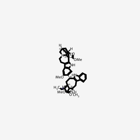 C/C=C1/CN(C)[C@@H]2Cc3c([nH]c4ccccc34)[C@@H](c3cc4[nH]c5c(c4cc3OC)CCN3C[C@H]4C[C@H](CC)[C@H]3[C@@]5(C(=O)OC)C4)C[C@@H]1C2C(=O)OC